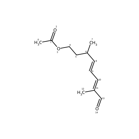 CC(=O)OCCC(C)/C=C/C=C(\C)C=O